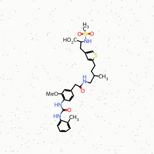 COc1cc(CC(=O)NCC(C)CCc2cc(CC(NS(C)(=O)=O)C(=O)O)cs2)ccc1NC(=O)Nc1ccccc1C